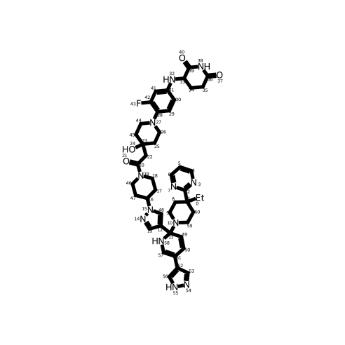 CCC1(c2ncccn2)CCN(C2(c3cnn(C4CCN(C(=O)CC5(O)CCN(c6ccc(NC7CCC(=O)NC7=O)cc6F)CC5)CC4)c3)C=CC(c3cn[nH]c3)=CN2)CC1